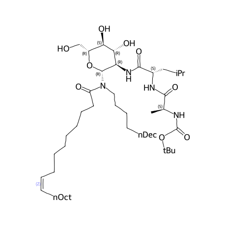 CCCCCCCC/C=C\CCCCCCCC(=O)N(CCCCCCCCCCCCCC)[C@@H]1O[C@H](CO)[C@@H](O)[C@H](O)[C@H]1NC(=O)[C@H](CC(C)C)NC(=O)[C@H](C)NC(=O)OC(C)(C)C